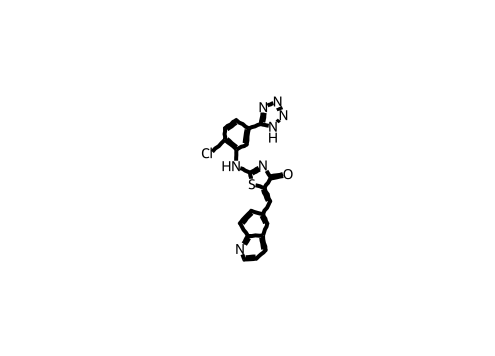 O=C1N=C(Nc2cc(-c3nnn[nH]3)ccc2Cl)S/C1=C\c1ccc2ncccc2c1